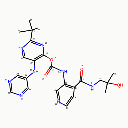 CC(C)(O)CNC(=O)c1ccncc1NC(=O)Oc1nc(C(C)(C)C)ncc1Nc1cncnc1